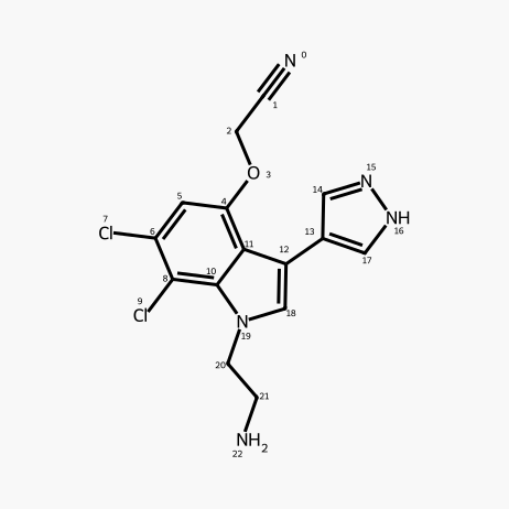 N#CCOc1cc(Cl)c(Cl)c2c1c(-c1cn[nH]c1)cn2CCN